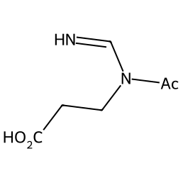 CC(=O)N(C=N)CCC(=O)O